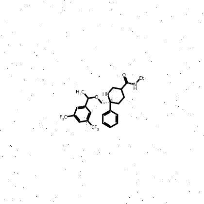 CCNC(=O)C1CC[C@@](COC(C)c2cc(C(F)(F)F)cc(C(F)(F)F)c2)(c2ccccc2)NC1